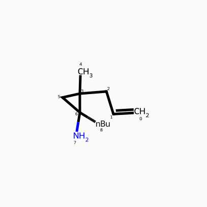 C=CCC1(C)CC1(N)CCCC